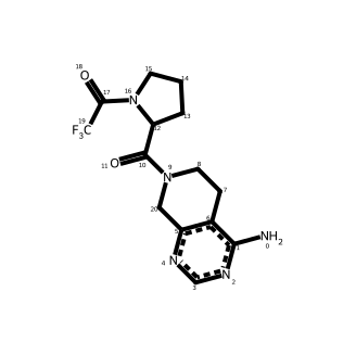 Nc1ncnc2c1CCN(C(=O)C1CCCN1C(=O)C(F)(F)F)C2